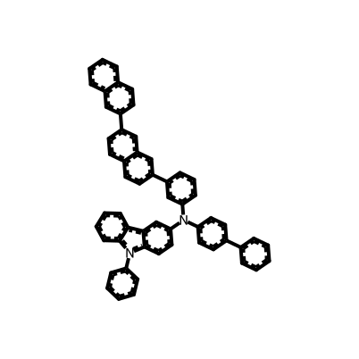 c1ccc(-c2ccc(N(c3cccc(-c4ccc5ccc(-c6ccc7ccccc7c6)cc5c4)c3)c3ccc4c(c3)c3ccccc3n4-c3ccccc3)cc2)cc1